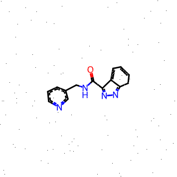 O=C(NCc1cccnc1)C1=NN=C2CC=CC=C21